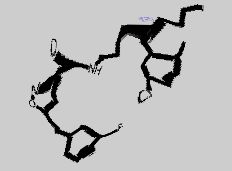 CCC/C=C(/CCCNC(=O)c1cc(Cc2cccc(F)c2)on1)c1cc(Cl)ccc1C